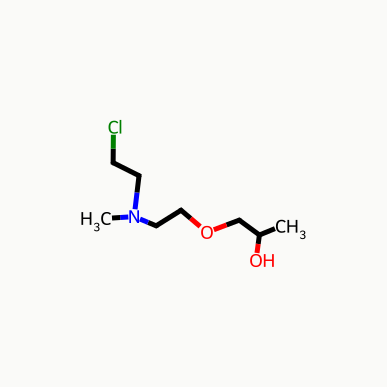 CC(O)COCCN(C)CCCl